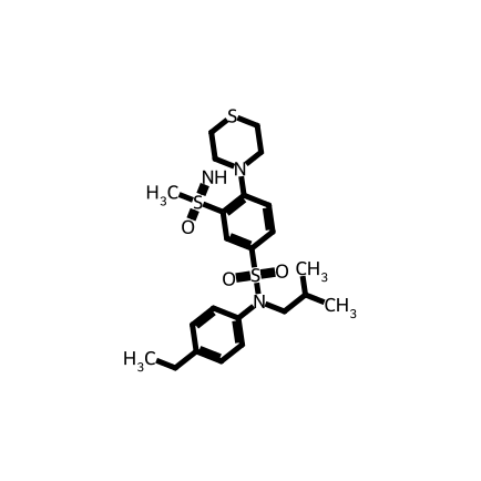 CCc1ccc(N(CC(C)C)S(=O)(=O)c2ccc(N3CCSCC3)c(S(C)(=N)=O)c2)cc1